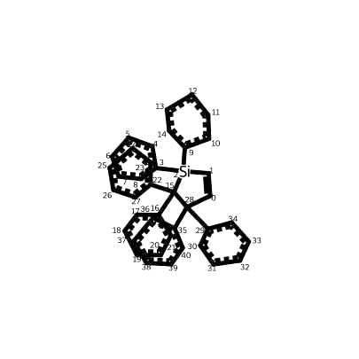 C1=C[Si](c2ccccc2)(c2ccccc2)C(c2ccccc2)(c2ccccc2)C1(c1ccccc1)c1ccccc1